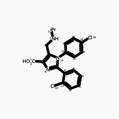 CC(C)NCc1c(C(=O)O)nc(-c2ccccc2Cl)n1-c1ccc(Cl)cc1